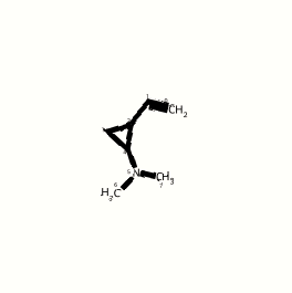 C=CC1CC1N(C)C